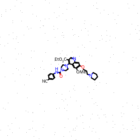 CCOC(=O)c1cnc2cc(OCCCN3CCCCC3)c(OC)cc2c1N1CCN(C(=O)Nc2ccc(C#N)cc2)CC1